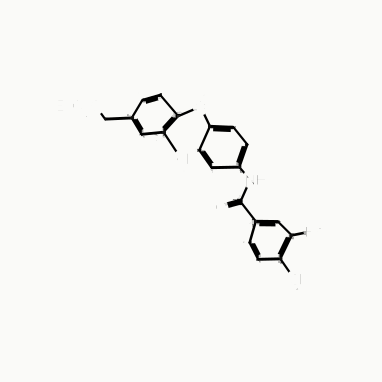 CCOC(=O)Cc1ccc(Oc2ccc(NC(=O)c3ccc(Cl)c(F)c3)cc2)c(Cl)c1